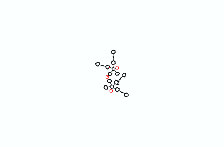 O=C1C(c2ccc(C#Cc3ccccc3)cc2)=C(c2ccc(C#Cc3ccccc3)cc2)C(c2ccc(Oc3ccc(C4=C(c5ccccc5)C(=O)C(c5ccc(C#Cc6ccccc6)cc5)=C4c4ccc(C#Cc5ccccc5)cc4)cc3)cc2)=C1c1ccccc1